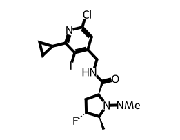 CNN1[C@H](C(=O)NCc2cc(Cl)nc(C3CC3)c2I)C[C@@H](F)[C@@H]1C